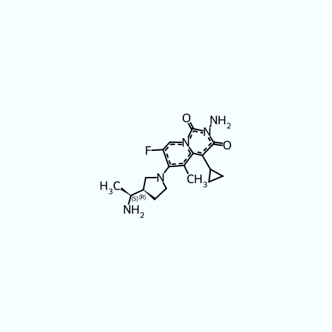 Cc1c(N2CC[C@@H]([C@H](C)N)C2)c(F)cn2c(=O)n(N)c(=O)c(C3CC3)c12